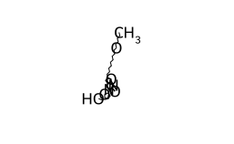 CCCCCOCCCCCCCCCc1cc2cn([C@@H]3CC[C@H](CO)O3)c(=O)nc2o1